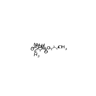 CCCCOC(=O)NCC(C)(C)C(N)=O